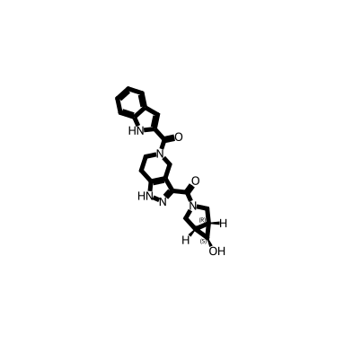 O=C(c1cc2ccccc2[nH]1)N1CCc2[nH]nc(C(=O)N3C[C@@H]4[C@@H](O)[C@@H]4C3)c2C1